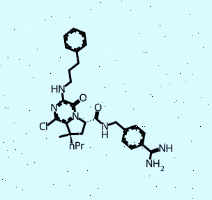 CCC[C@]1(C)C[C@@H](C(=O)NCc2ccc(C(=N)N)cc2)n2c1c(Cl)nc(NCCCc1ccccc1)c2=O